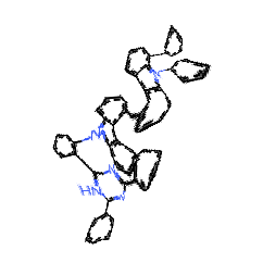 c1ccc(C2=NC(c3ccccc3-n3c4ccccc4c4c(-c5cccc6c5c5cccc(-c7ccccc7)c5n6-c5ccccc5)cccc43)NC(c3ccccc3)=N2)cc1